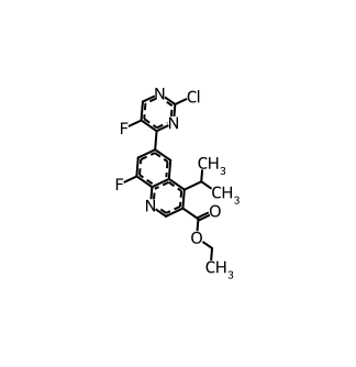 CCOC(=O)c1cnc2c(F)cc(-c3nc(Cl)ncc3F)cc2c1C(C)C